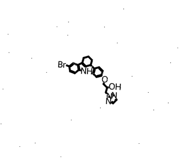 OC(COc1ccc(C2CCCc3c2[nH]c2ccc(Br)cc32)cc1)Cn1nccn1